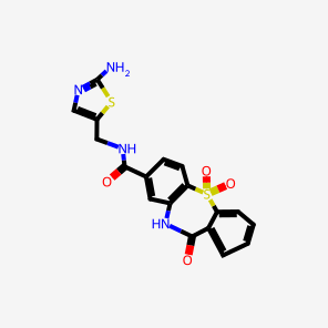 Nc1ncc(CNC(=O)c2ccc3c(c2)NC(=O)c2ccccc2S3(=O)=O)s1